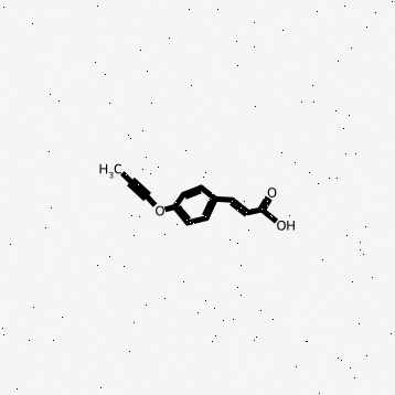 CC#COc1ccc(C=CC(=O)O)cc1